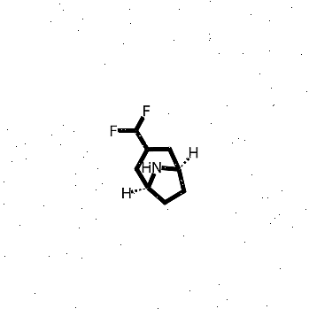 FC(F)C1C[C@H]2CC[C@@H](C1)N2